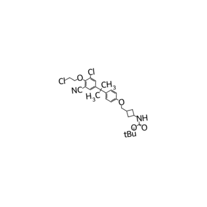 CC(C)(C)OC(=O)NC1CC(COc2ccc(C(C)(C)c3cc(Cl)c(OCCCl)c(C#N)c3)cc2)C1